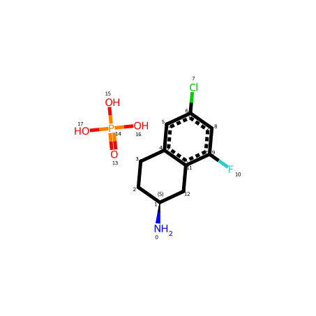 N[C@H]1CCc2cc(Cl)cc(F)c2C1.O=P(O)(O)O